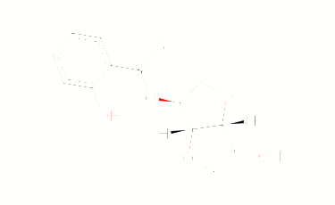 O=C(O[C@H]1CO[C@H]2[C@@H]1OC[C@H]2O)c1ccccc1O